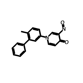 Cc1ccc(-n2ccc(=O)c(N=O)c2)cc1-c1ccccc1